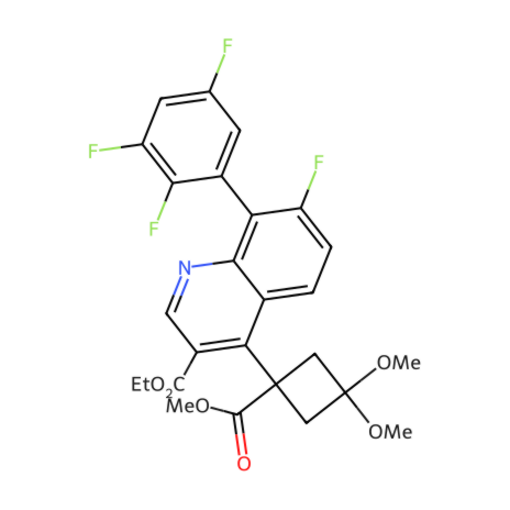 CCOC(=O)c1cnc2c(-c3cc(F)cc(F)c3F)c(F)ccc2c1C1(C(=O)OC)CC(OC)(OC)C1